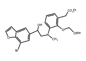 CCOC(=O)Cc1cccc(N(C)CC(O)c2cc(Br)c3occc3c2)c1OCOC